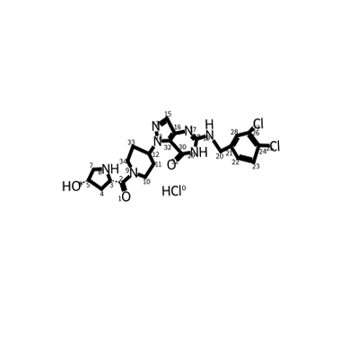 Cl.O=C([C@@H]1C[C@H](O)CN1)N1CCC(n2ncc3nc(NCc4ccc(Cl)c(Cl)c4)[nH]c(=O)c32)CC1